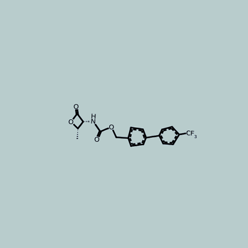 C[C@@H]1OC(=O)[C@@H]1NC(=O)OCc1ccc(-c2ccc(C(F)(F)F)cc2)cc1